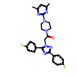 Cc1cc(C)nc(N2CCN(C(=O)Cn3nc(-c4ccc(F)cc4)nc3-c3ccc(F)cc3)CC2)n1